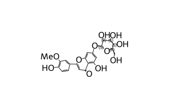 COc1cc(-c2cc(=O)c3c(O)cc(O[C@@H]4O[C@H](CO)[C@@H](O)[C@H](O)[C@H]4O)cc3o2)ccc1O